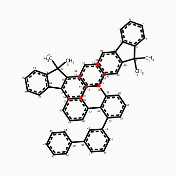 CC1(C)c2ccccc2-c2ccc(N(c3ccc4c(c3)C(C)(C)c3ccccc3-4)c3cccc(-c4cccc(-c5ccccc5)c4)c3-c3ccccc3-c3ccccc3)cc21